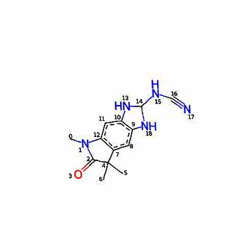 CN1C(=O)C(C)(C)c2cc3c(cc21)NC(NC#N)N3